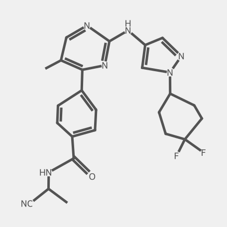 Cc1cnc(Nc2cnn(C3CCC(F)(F)CC3)c2)nc1-c1ccc(C(=O)NC(C)C#N)cc1